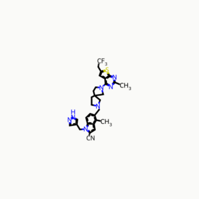 Cc1nc(N2CCC3(CCN(Cc4ccc5c(cc(C#N)n5Cc5cn[nH]c5)c4C)C3)C2)c2cc(CC(F)(F)F)sc2n1